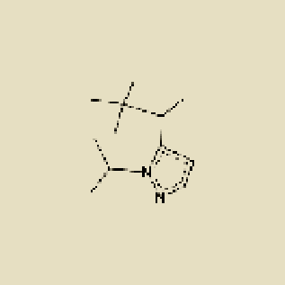 CC(C)n1nccc1C(C)C(C)(C)C